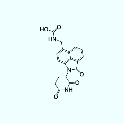 O=C(O)NCc1ccc2c3c(cccc13)C(=O)N2C1CCC(=O)NC1=O